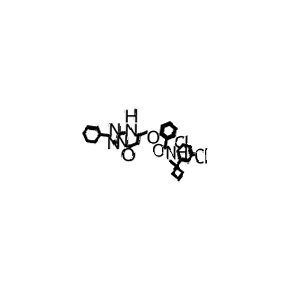 O=C(NCC1(C2=CC(Cl)=CCC2)CCC1)c1c(Cl)cccc1OCC1CC(=O)n2nc(C3C=CCCC3)nc2N1